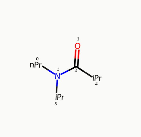 CCCN(C(=O)C(C)C)C(C)C